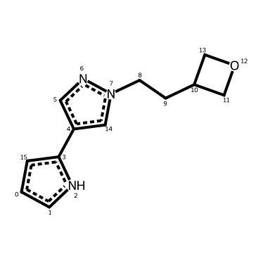 c1c[nH]c(-c2cnn(CCC3COC3)c2)c1